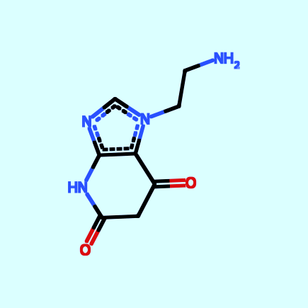 NCCn1cnc2c1C(=O)CC(=O)N2